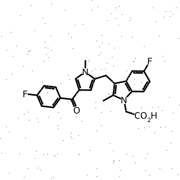 Cc1c(Cc2cc(C(=O)c3ccc(F)cc3)cn2C)c2cc(F)ccc2n1CC(=O)O